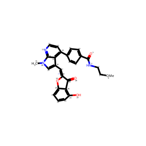 COCCNC(=O)c1ccc(-c2ccnc3c2c(/C=C2\Oc4cccc(O)c4C2=O)cn3C)cc1